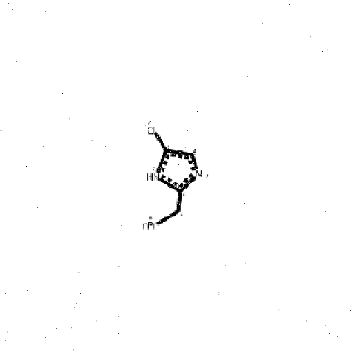 CCCCc1n[c]c(Cl)[nH]1